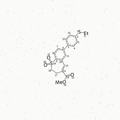 CCSc1ccc(-c2ccc3c(c2)C=C(C(=O)OC)CCS3(=O)=O)cc1